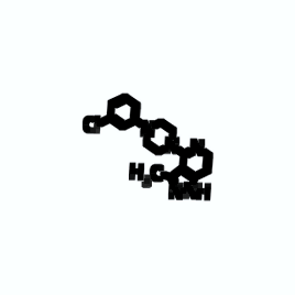 Cc1n[nH]c2ccnc(N3CCN(c4cccc(Cl)c4)CC3)c12